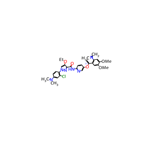 C=Nc1cc(OC)c(OC)cc1/C(=C\C)Oc1ccc(NC(=O)c2nn(-c3ccc(N(C)C)cc3Cl)cc2OCC)nc1